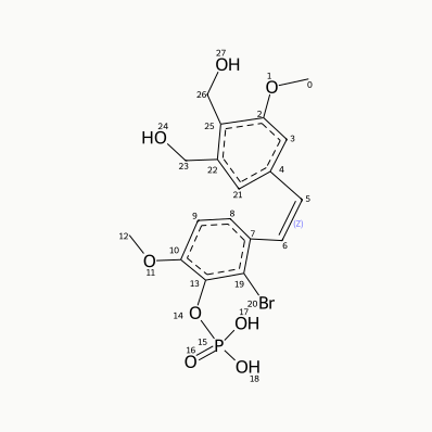 COc1cc(/C=C\c2ccc(OC)c(OP(=O)(O)O)c2Br)cc(CO)c1CO